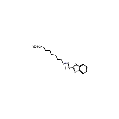 CCCCCCCCCCCCCCCCC/C=N/Nc1nc2ccccc2s1